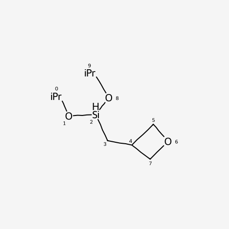 CC(C)O[SiH](CC1COC1)OC(C)C